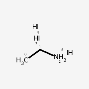 CCN.I.I.I